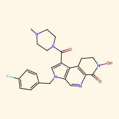 CN1CCN(C(=O)c2cn(Cc3ccc(F)cc3)c3cnc4c(c23)CCN(O)C4=O)CC1